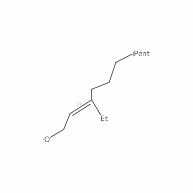 CCCC(C)CCC/C(=C/C[O])CC